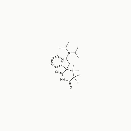 CC(C)N(CCC1(c2ccccn2)C(=O)NC(=O)C(C)(C)C1(C)C)C(C)C